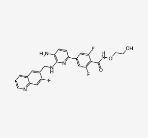 Nc1ccc(-c2cc(F)c(C(=O)NOCCO)c(F)c2)nc1NCc1cc2cccnc2cc1F